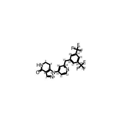 O=C1NCCc2c1cnn2-c1ccnc(Cc2cc(C(F)(F)F)cc(C(F)(F)F)c2)c1